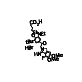 Br.CCN(CC)c1cc(C(=O)CN2Cc3cc(OC)c(OC)c(F)c3C2=N)cc(C(C)(C)C)c1OCCCCC(=O)O